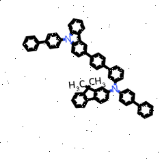 CC1(C)c2ccccc2-c2ccc(N(c3ccc(-c4ccccc4)cc3)c3cccc(-c4ccc(-c5ccc6c(c5)c5ccccc5n6-c5ccc(-c6ccccc6)cc5)cc4)c3)cc21